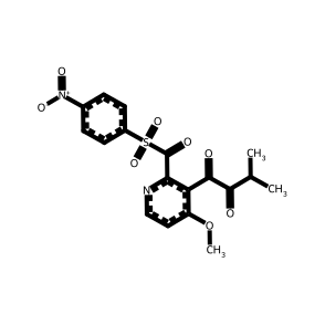 COc1ccnc(C(=O)S(=O)(=O)c2ccc([N+](=O)[O-])cc2)c1C(=O)C(=O)C(C)C